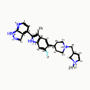 CC(C)c1c(-c2ccnc3[nH]ncc23)[nH]c2cc(F)c(C3CCN(CC4CCN(C(C)C)C4)CC3)cc12